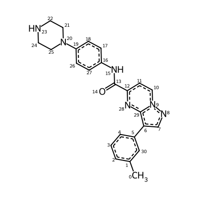 Cc1cccc(-c2cnn3ccc(C(=O)Nc4ccc(N5CCNCC5)cc4)nc23)c1